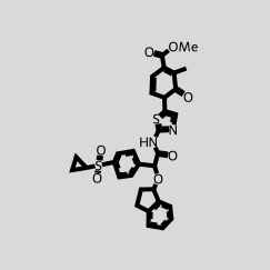 COC(=O)C1=C(C)C(=O)C(c2cnc(NC(=O)C(OC3CCc4ccccc43)c3ccc(S(=O)(=O)C4CC4)cc3)s2)C=C1